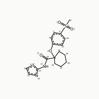 CS(=O)(=O)c1ccc(OC2(C(=O)Nc3nccs3)CCCCC2)cc1